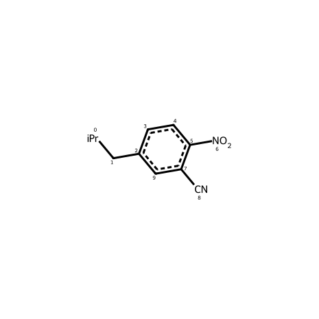 CC(C)Cc1ccc([N+](=O)[O-])c(C#N)c1